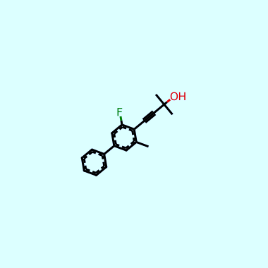 Cc1cc(-c2ccccc2)cc(F)c1C#CC(C)(C)O